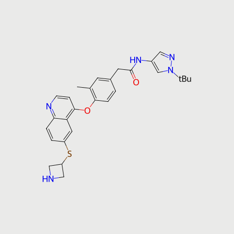 Cc1cc(CC(=O)Nc2cnn(C(C)(C)C)c2)ccc1Oc1ccnc2ccc(SC3CNC3)cc12